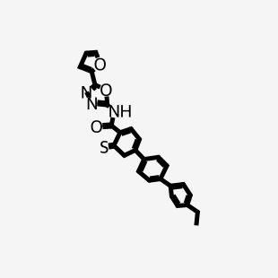 CCc1ccc(-c2ccc(C3=CC=C(C(=O)Nc4nnc(-c5ccco5)o4)C(=S)C3)cc2)cc1